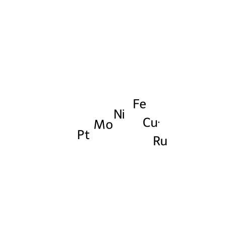 [Cu].[Fe].[Mo].[Ni].[Pt].[Ru]